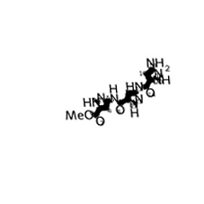 COC(=O)c1cc(NC(=O)c2cc(NC(=O)c3cc(N)n[nH]3)n[nH]2)n[nH]1